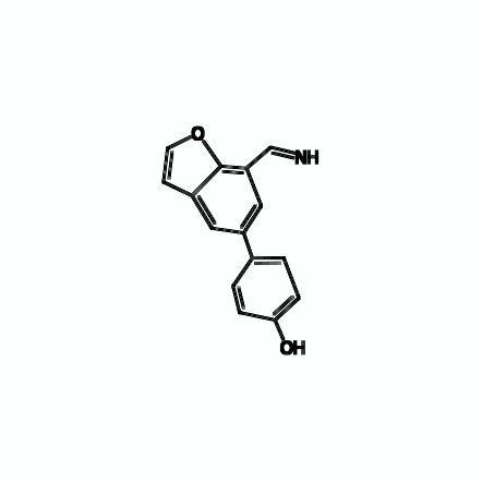 N=Cc1cc(-c2ccc(O)cc2)cc2ccoc12